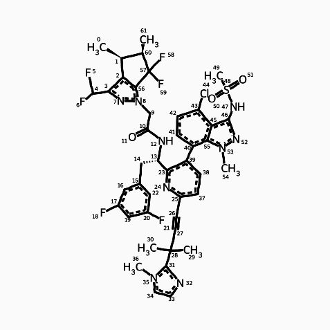 C[C@@H]1c2c(C(F)F)nn(CC(=O)N[C@@H](Cc3cc(F)cc(F)c3)c3nc(C#CC(C)(C)c4nccn4C)ccc3-c3ccc(Cl)c4c(NS(C)(=O)=O)nn(C)c34)c2C(F)(F)[C@@H]1C